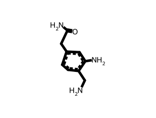 NCc1ccc(CC(N)=O)cc1N